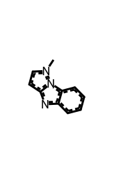 Cn1ccc2nc3ccccc3n21